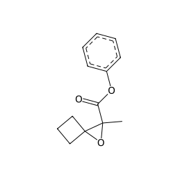 CC1(C(=O)Oc2ccccc2)OC12CCC2